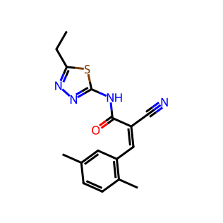 CCc1nnc(NC(=O)C(C#N)=Cc2cc(C)ccc2C)s1